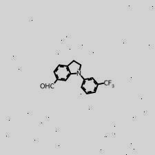 O=Cc1ccc2c(c1)N(c1cccc(C(F)(F)F)c1)CC2